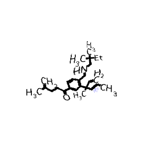 C=CC(C)(/C=C/C)c1cc(C(=O)CCC(=C)C)ccc1CNCC(C)(C)CC